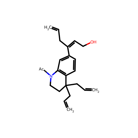 C=CC/C(=C/CO)c1ccc2c(c1)N(C(C)=O)CCC2(CC=C)CC=C